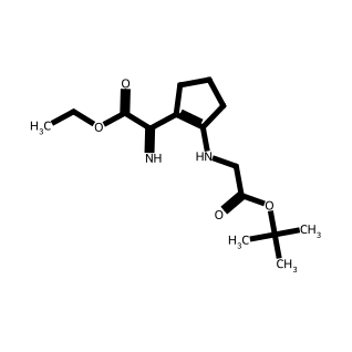 CCOC(=O)C(=N)C1=C(NCC(=O)OC(C)(C)C)CCC1